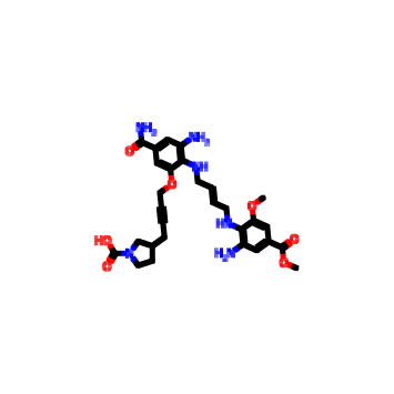 COC(=O)c1cc(N)c(NC/C=C/CNc2c(N)cc(C(N)=O)cc2OCC#CCC2CCN(C(=O)O)C2)c(OC)c1